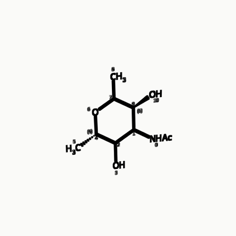 CC(=O)NC1C(O)[C@H](C)OC(C)[C@H]1O